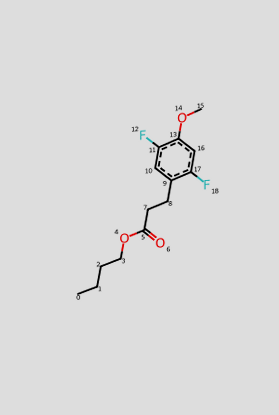 CCCCOC(=O)CCc1cc(F)c(OC)cc1F